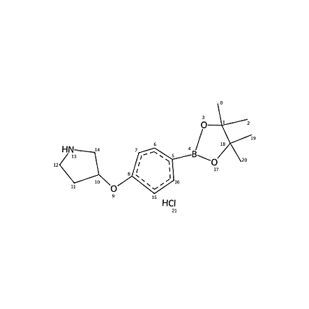 CC1(C)OB(c2ccc(OC3CCNC3)cc2)OC1(C)C.Cl